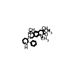 COc1cc2c(cc1CN[C@H]1CCCN[C@H]1c1ccccc1)N(C)C(=O)C(C)(C)C2